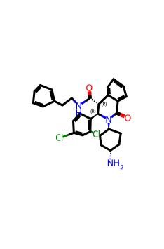 N[C@H]1CC[C@H](N2C(=O)c3ccccc3[C@@H](C(=O)NCCc3ccccc3)[C@@H]2c2ccc(Cl)cc2Cl)CC1